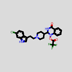 O=C1NC(C2CCN(CCc3c[nH]c4cc(Cl)ccc34)CC2)N(OC(=O)C(F)(F)F)c2ccccc21